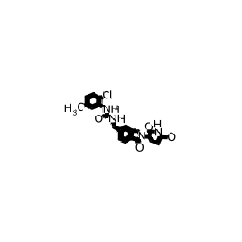 Cc1ccc(Cl)c(NC(=O)NCc2ccc3c(c2)CN(C2CCC(=O)NC2=O)C3=O)c1